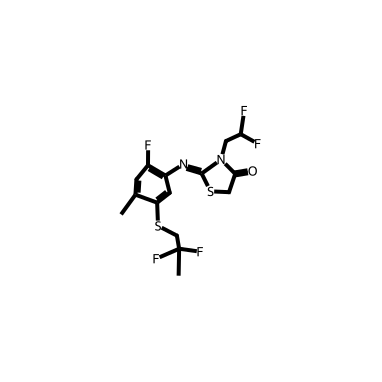 Cc1cc(F)c(/N=C2\SCC(=O)N2CC(F)F)cc1SCC(C)(F)F